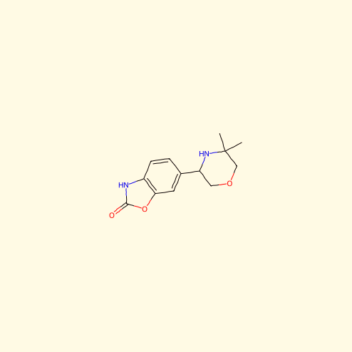 CC1(C)COCC(c2ccc3[nH]c(=O)oc3c2)N1